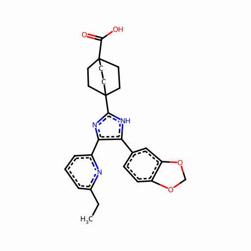 CCc1cccc(-c2nc(C34CCC(C(=O)O)(CC3)CC4)[nH]c2-c2ccc3c(c2)OCO3)n1